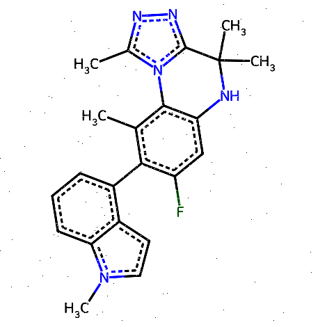 Cc1c(-c2cccc3c2ccn3C)c(F)cc2c1-n1c(C)nnc1C(C)(C)N2